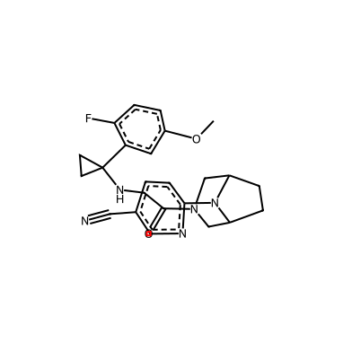 COc1ccc(F)c(C2(NCC(=O)N3CC4CCC(C3)N4c3ccc(C#N)cn3)CC2)c1